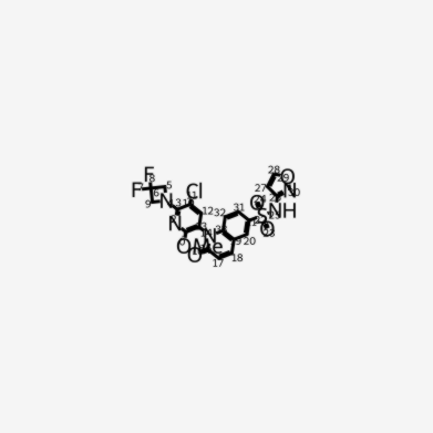 COc1nc(N2CC(F)(F)C2)c(Cl)cc1-n1c(=O)ccc2cc(S(=O)(=O)Nc3ccon3)ccc21